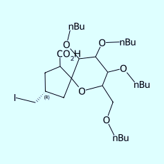 CCCCOCC1OC2(C[C@H](CI)CC2C(=O)O)C(OCCCC)C(OCCCC)C1OCCCC